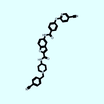 N#Cc1ccc(CN2CCC(NC(=O)c3cc4cc(NC(=O)c5ccc(Oc6ccc(C#N)cn6)cc5)ccc4o3)CC2)cc1